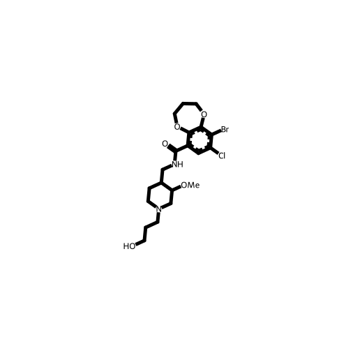 COC1CN(CCCO)CCC1CNC(=O)c1cc(Cl)c(Br)c2c1OCCCO2